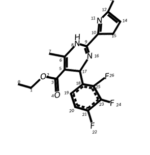 CCOC(=O)C1=C(C)NC(C2=NC(C)=CC2)=NC1c1ccc(F)c(F)c1F